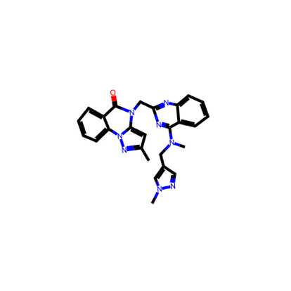 Cc1cc2n(Cc3nc(N(C)Cc4cnn(C)c4)c4ccccc4n3)c(=O)c3ccccc3n2n1